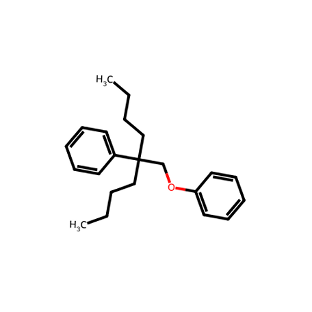 CCCCC(CCCC)(COc1ccccc1)c1ccccc1